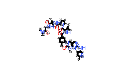 Cc1ccc(Nc2ncc3c(n2)N(C)C(=O)N(c2cc(C(=O)N[C@H](C(=O)N4CCC[C@H]4C(=O)NC(C)(C)C(=O)NCC(=O)N(C)C)C(C)C)ccc2C)C3)cn1